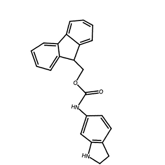 O=C(Nc1ccc2c(c1)NCC2)OCC1c2ccccc2-c2ccccc21